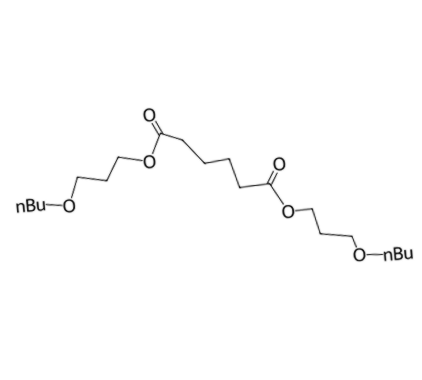 CCCCOCCCOC(=O)CCCCC(=O)OCCCOCCCC